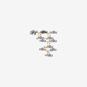 CCCCP(CCCC)CCCC.CCCCP(CCCC)CCCC.CCCCP(CCCC)CCCC.CCCCP(CCCC)CCCC.[Pd]